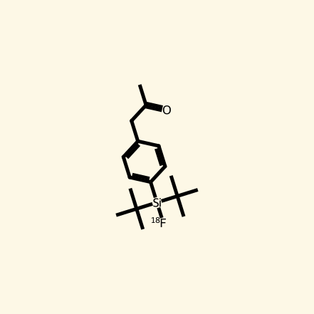 CC(=O)Cc1ccc([Si]([18F])(C(C)(C)C)C(C)(C)C)cc1